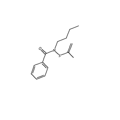 C=C(C)SN(CCCC)C(=O)c1ccccc1